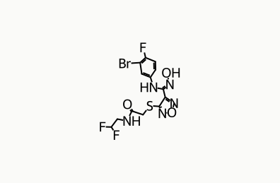 O=C(CSc1nonc1/C(=N/O)Nc1ccc(F)c(Br)c1)NCC(F)F